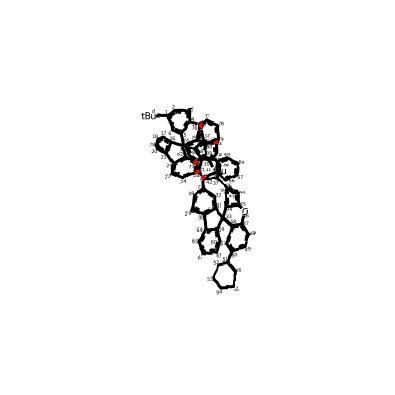 CC(C)(C)c1ccc2c(c1)C1(c3cc(C(C)(C)C)ccc3O2)c2ccccc2-c2ccc(N(c3ccc4c(c3)C3(c5cc(C6CCCCC6)ccc5Oc5ccc(C6CCCCC6)cc53)c3ccccc3-4)c3ccccc3-c3cccc4ccccc34)cc21